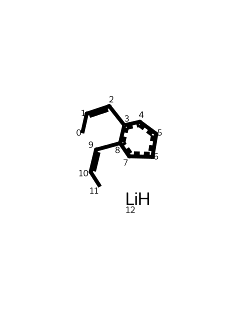 C/C=C\c1ccccc1/C=C\C.[LiH]